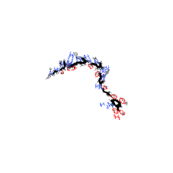 COc1cc(C(=O)O)c(N)cc1OCCCC(=O)Nc1cc(C(=O)Nc2cc(C(=O)Nc3cc(C(=O)Nc4cc(C(=O)NCCCN(C)C)n(C)c4)n(C)c3)n(C)c2)n(C)c1